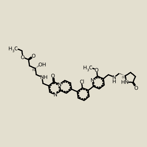 CCOC(=O)C[C@H](O)CNCc1cnc2cc(-c3cccc(-c4ccc(CNC[C@@H]5CCC(=O)N5)c(OC)n4)c3Cl)ccn2c1=O